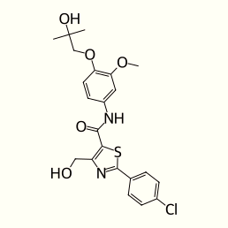 COc1cc(NC(=O)c2sc(-c3ccc(Cl)cc3)nc2CO)ccc1OCC(C)(C)O